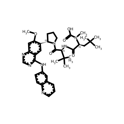 COc1cc2ncnc(Nc3ccc4ncccc4c3)c2cc1[C@@H]1CCCN1C(=O)[C@@H](NC(=O)[C@H](CC(C)(C)C)N(C)C(=O)O)C(C)(C)C